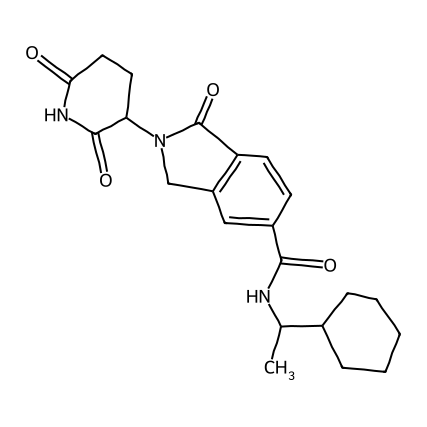 CC(NC(=O)c1ccc2c(c1)CN(C1CCC(=O)NC1=O)C2=O)C1CCCCC1